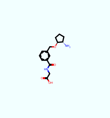 N[C@H]1CCC[C@@H]1OCc1cccc(C(=O)NCC(=O)O)c1